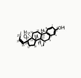 C[C@@H]1Cc2cc(O)ccc2[C@H]2CC[C@@]3(C)[C@@H](CC[C@@]3(O)/C=C\I)[C@H]12